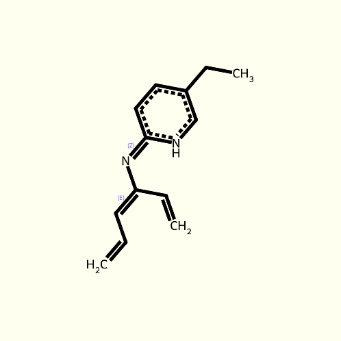 C=C/C=C(C=C)/N=c1/ccc(CC)c[nH]1